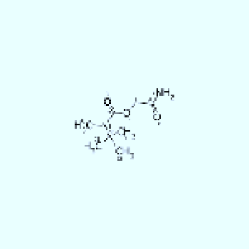 CN(C(=O)OCC(N)=O)C(C)(C)C